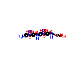 N[C@H]1CC[C@H](NC(=O)c2ccc(C(=O)N[C@H]3CC[C@H](NC(=O)c4ccc(C(=O)NCCSSCCC(=O)O)cc4S(=O)(=O)O)CC3)cc2S(=O)(=O)O)CC1